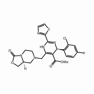 COC(=O)C1=C(CN2CCN3C(=O)OC[C@@H]3C2)NC(c2nccs2)=N[C@H]1c1ccc(F)cc1Cl